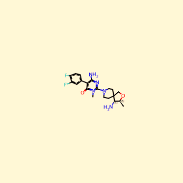 C[C@@H]1OCC2(CCN(c3nc(N)c(-c4ccc(F)c(F)c4)c(=O)n3C)CC2)[C@@H]1N